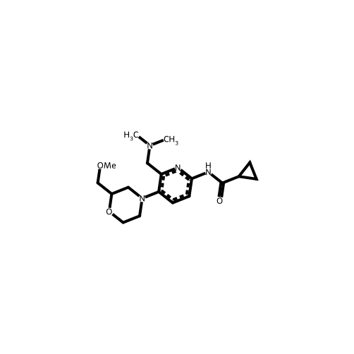 COCC1CN(c2ccc(NC(=O)C3CC3)nc2CN(C)C)CCO1